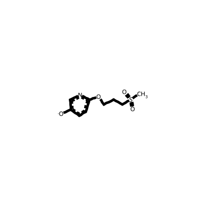 CS(=O)(=O)CCCOc1ccc([O])cn1